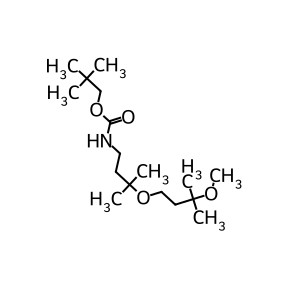 COC(C)(C)CCOC(C)(C)CCNC(=O)OCC(C)(C)C